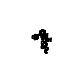 CCOC(=O)CC(=O)Nc1nc2cccc(-c3ccoc3)n2n1